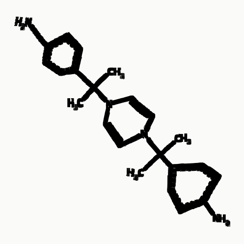 CC(C)(c1ccc(N)cc1)N1C=CN(C(C)(C)c2ccc(N)cc2)C=C1